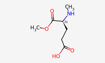 CN[C@@H](CCC(=O)O)C(=O)OC